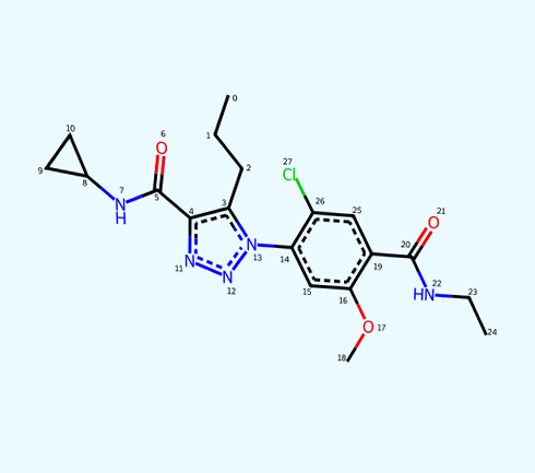 CCCc1c(C(=O)NC2CC2)nnn1-c1cc(OC)c(C(=O)NCC)cc1Cl